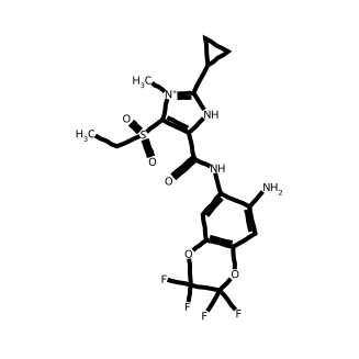 CCS(=O)(=O)c1c(C(=O)Nc2cc3c(cc2N)OC(F)(F)C(F)(F)O3)[nH]c(C2CC2)[n+]1C